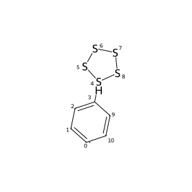 [c]1ccc([SH]2SSSS2)cc1